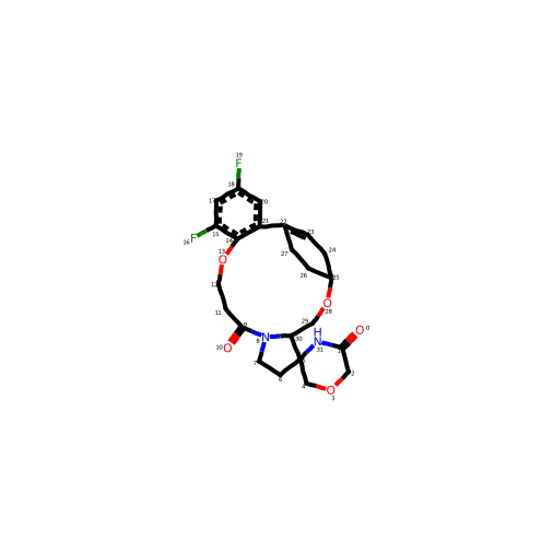 O=C1COCC2(CCN3C(=O)CCOc4c(F)cc(F)cc4C4=CCC(CC4)OCC32)N1